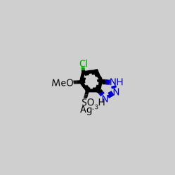 COc1c(Cl)cc2[nH]nnc2c1S(=O)(=O)O.[Ag]